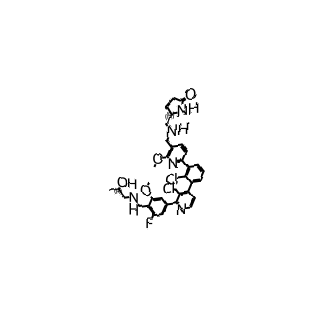 COc1cc(-c2nccc(-c3cccc(-c4ccc(CNC[C@H]5CCC(=O)N5)c(OC)n4)c3Cl)c2Cl)cc(F)c1CNC[C@@H](C)O